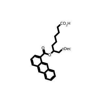 CCCCCCCCCCCC(CCCCCC(=O)O)OC(=O)c1cccc2cc3ccccc3cc12